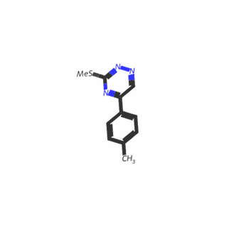 CSc1nncc(-c2ccc(C)cc2)n1